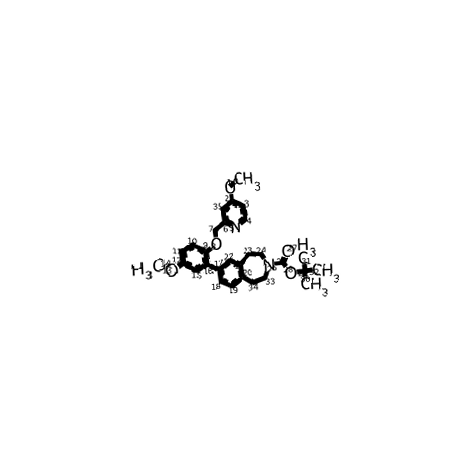 COc1ccnc(COc2ccc(OC)cc2-c2ccc3c(c2)CCN(C(=O)OC(C)(C)C)CC3)c1